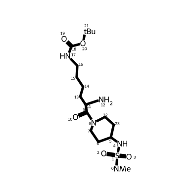 CNS(=O)(=O)NC1CCN(C(=O)C(N)CCCCNC(=O)OC(C)(C)C)CC1